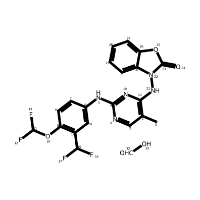 Cc1cnc(Nc2ccc(OC(F)F)c(C(F)F)c2)nc1Nn1c(=O)oc2ccccc21.O=CO